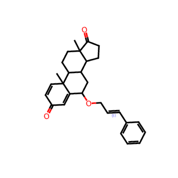 CC12C=CC(=O)C=C1C(OC/C=C/c1ccccc1)CC1C2CCC2(C)C(=O)CCC12